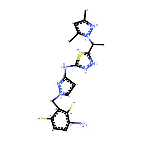 Cc1cc(C)n(C(C)c2nnc(Nc3ccn(Cc4c(F)ccc(N)c4F)n3)s2)n1